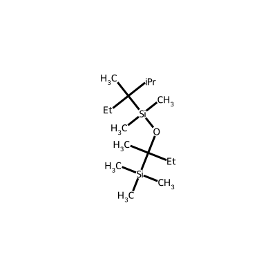 CCC(C)(O[Si](C)(C)C(C)(CC)C(C)C)[Si](C)(C)C